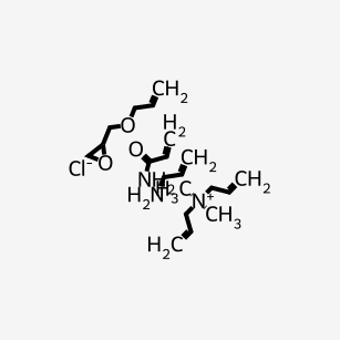 C=CC(N)=O.C=CCN.C=CCOCC1CO1.C=CC[N+](C)(C)CC=C.[Cl-]